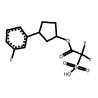 O=C(OC1CCC(c2cccc(F)c2)C1)C(F)(F)S(=O)(=O)O